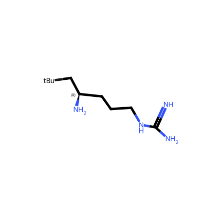 CC(C)(C)C[C@H](N)CCCNC(=N)N